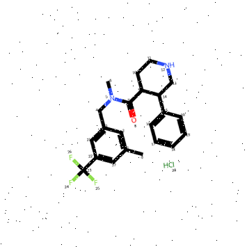 Cc1cc(CN(C)C(=O)C2CCNCC2c2ccccc2)cc(C(F)(F)F)c1.Cl